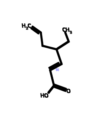 C=CCC(/C=C/C(=O)O)CC